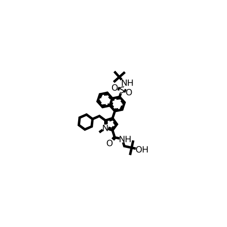 Cn1c(C(=O)NCC(C)(C)O)cc(-c2ccc(S(=O)(=O)NC(C)(C)C)c3ccccc23)c1CC1CCCCC1